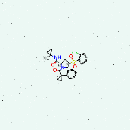 N#CC1(NC(=O)[C@@H]2C[C@@H](S(=O)(=O)c3ccccc3Cl)CN2C(=O)C2(c3ccccc3)CC2)CC1